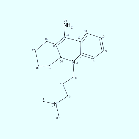 CN(C)CCCN1c2ccccc2C(N)=C2CCCCC21